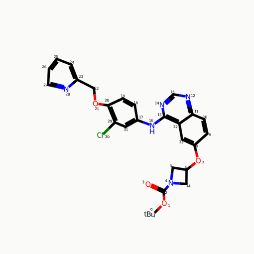 CC(C)(C)OC(=O)N1CC(Oc2ccc3ncnc(Nc4ccc(OCc5ccccn5)c(Cl)c4)c3c2)C1